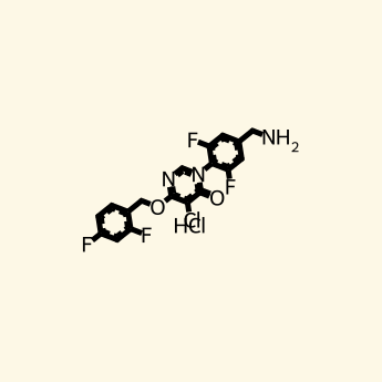 Cl.NCc1cc(F)c(-n2cnc(OCc3ccc(F)cc3F)c(Cl)c2=O)c(F)c1